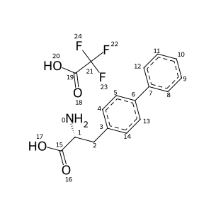 N[C@H](Cc1ccc(-c2ccccc2)cc1)C(=O)O.O=C(O)C(F)(F)F